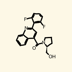 O=C(c1cc(-c2c(F)cccc2F)nc2ccccc12)N1CCC[C@H]1CO